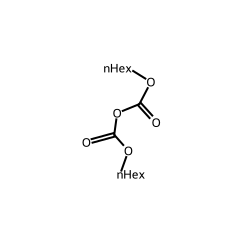 CCCCCCOC(=O)OC(=O)OCCCCCC